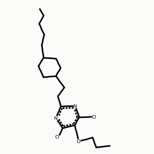 CCCCCC1CCC(CCc2nc(Cl)c(OCCC)c(Cl)n2)CC1